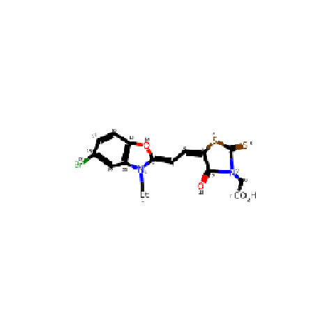 CCN1/C(=C/C=C2/SC(=S)N(CC(=O)O)C2=O)Oc2ccc(Br)cc21